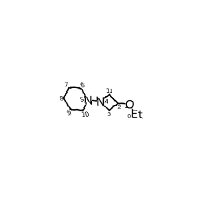 CCOC1CN(N2CCCCC2)C1